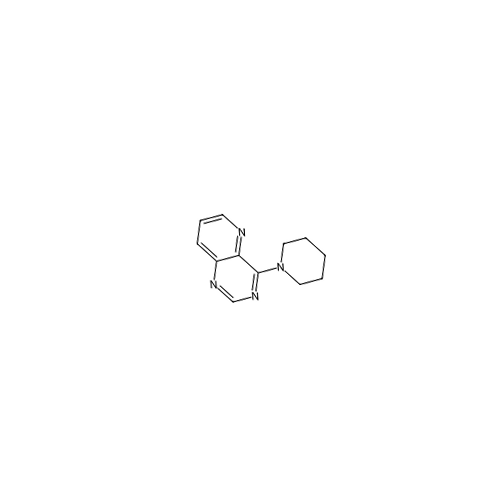 c1cnc2c(N3CCCCC3)ncnc2c1